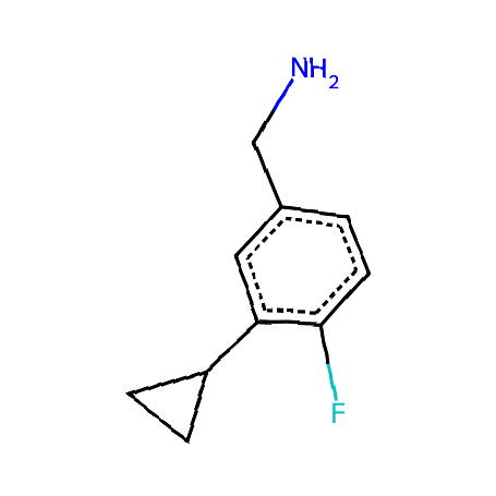 NCc1ccc(F)c(C2CC2)c1